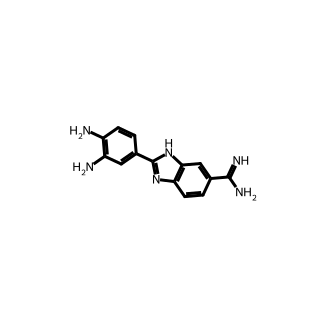 N=C(N)c1ccc2nc(-c3ccc(N)c(N)c3)[nH]c2c1